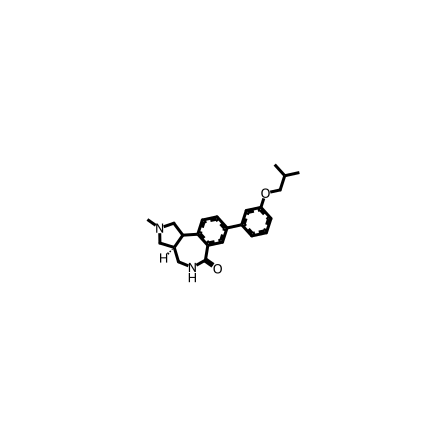 CC(C)COc1cccc(-c2ccc3c(c2)C(=O)NC[C@H]2CN(C)CC32)c1